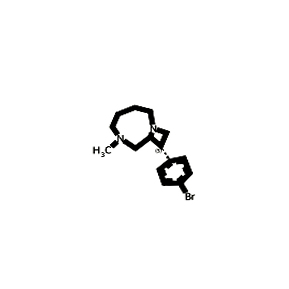 CN1CCCCN2C[C@H](c3ccc(Br)cc3)C2C1